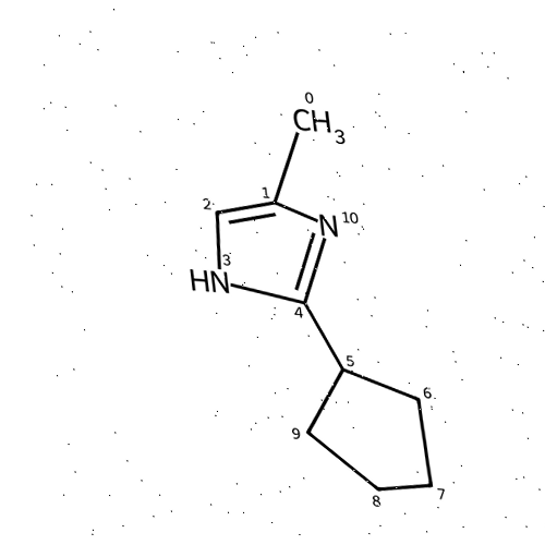 Cc1c[nH]c(C2CCCC2)n1